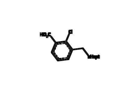 CCCCCCCCc1cccc(C(=O)O)c1Cl